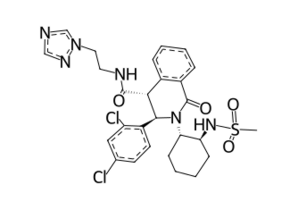 CS(=O)(=O)N[C@H]1CCCC[C@@H]1N1C(=O)c2ccccc2[C@@H](C(=O)NCCn2cncn2)[C@@H]1c1ccc(Cl)cc1Cl